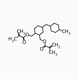 C=C(C)C(=O)OCC1CCC(CC2CCC(C)CC2)CC1COC(=O)C(=C)C